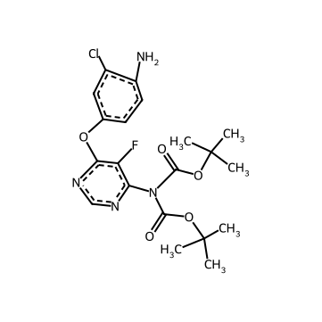 CC(C)(C)OC(=O)N(C(=O)OC(C)(C)C)c1ncnc(Oc2ccc(N)c(Cl)c2)c1F